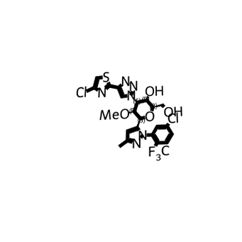 CO[C@@H]1[C@@H](n2cc(-c3nc(Cl)cs3)nn2)[C@@H](O)[C@@H](CO)O[C@H]1c1cc(C)nn1-c1cc(Cl)ccc1C(F)(F)F